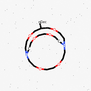 CCCCCCCCCCC1COCCN2CCOCCOCCN(CCOCCOCC2)CCOC1